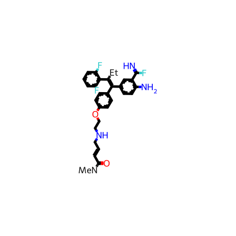 CC/C(=C(/c1ccc(OCCNC/C=C/C(=O)NC)cc1)c1ccc(N)c(C(=N)F)c1)c1c(F)cccc1F